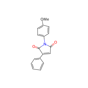 COc1ccc(N2C(=O)C=C(c3ccccc3)C2=O)cc1